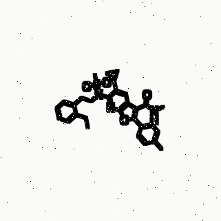 CCc1ccccc1CCN(c1nc2oc(-c3ccc(C)cc3)c(C(=O)NC)c2cc1C1CC1)S(C)(=O)=O